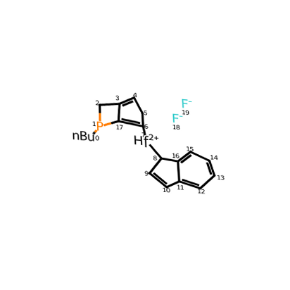 CCCCP1CC2=CC[C]([Hf+2][CH]3C=Cc4ccccc43)=C21.[F-].[F-]